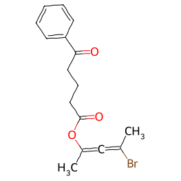 CC(Br)=C=C(C)OC(=O)CCCC(=O)c1ccccc1